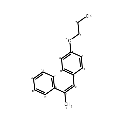 CC(=Cc1ccc(OCCCl)cc1)c1ccccc1